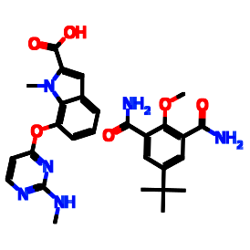 CNc1nccc(Oc2cccc3cc(C(=O)O)n(C)c23)n1.COc1c(C(N)=O)cc(C(C)(C)C)cc1C(N)=O